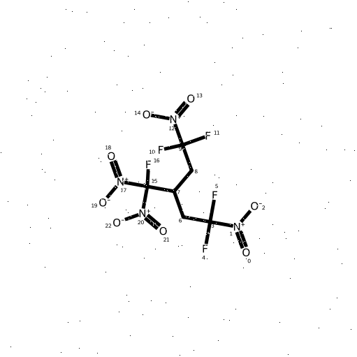 O=[N+]([O-])C(F)(F)C[C](CC(F)(F)[N+](=O)[O-])C(F)([N+](=O)[O-])[N+](=O)[O-]